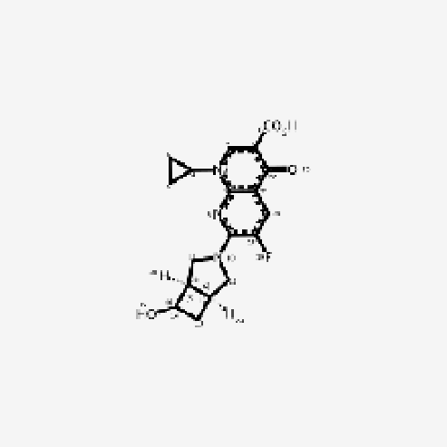 O=C(O)c1cn(C2CC2)c2nc(N3C[C@H]4C[C@@H](O)[C@H]4C3)c(F)cc2c1=O